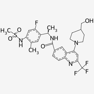 Cc1cc([C@@H](C)NC(=O)c2ccc3nc(C(F)(F)F)cc(N4CCC(CO)CC4)c3c2)c(F)cc1NS(C)(=O)=O